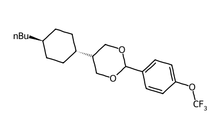 CCCC[C@H]1CC[C@H](C2COC(c3ccc(OC(F)(F)F)cc3)OC2)CC1